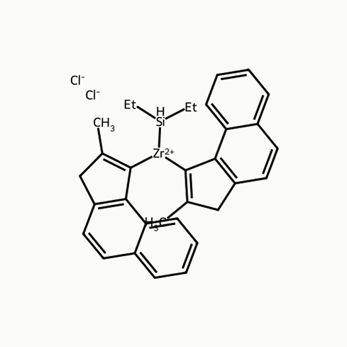 CC[SiH](CC)[Zr+2]([C]1=C(C)Cc2ccc3ccccc3c21)[C]1=C(C)Cc2ccc3ccccc3c21.[Cl-].[Cl-]